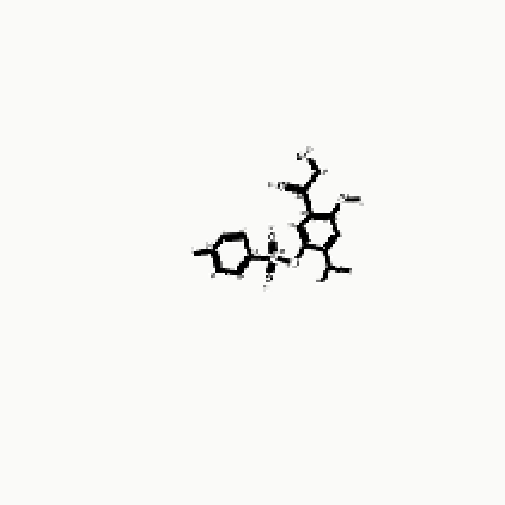 COc1cc(C(C)C)c(OS(=O)(=O)c2ccc(C)cc2)cc1C(=O)CBr